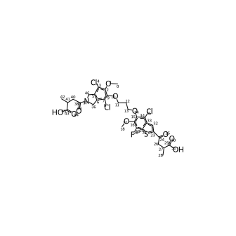 COc1c(Cl)c2c(c(Cl)c1OCCCOc1c(OC)c(F)c3sc(C(=O)CC(C)C(=O)O)cc3c1Cl)CN(C(=O)CC(C)C(=O)O)C2